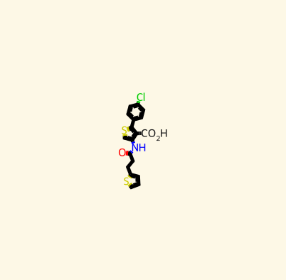 O=C(CCc1cccs1)Nc1csc(-c2ccc(Cl)cc2)c1C(=O)O